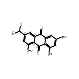 COc1cc(O)c2c(c1)C(=O)c1cc(C(Br)Br)cc(OC)c1C2=O